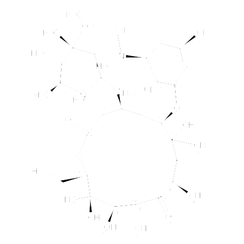 CC[C@H]1OC(=O)[C@H](C)[C@@H](OC2C[C@@](C)(OC)[C@@H](O)[C@H](C)O2)[C@H](C)[C@@H](OC2O[C@H](C)C[C@H](N(C)C)[C@H]2O)C(C)(C)C[C@@H](C)C(=O)[C@H](C)[C@@H](O)[C@]1(C)O